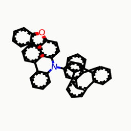 c1ccc(-c2ccccc2N(c2ccc3c(c2)-c2c4cccc2-c2cccc-3c2-c2ccccc2-4)c2ccc3oc4ccccc4c3c2)cc1